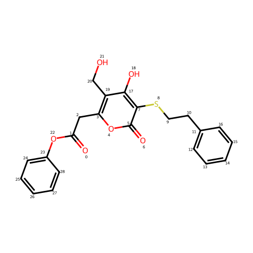 O=C(Cc1oc(=O)c(SCCc2ccccc2)c(O)c1CO)Oc1ccccc1